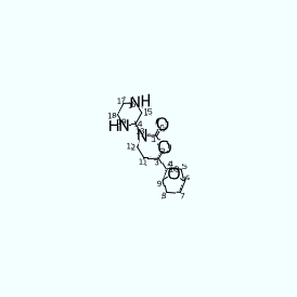 O=C1OC(C2CC3CCC2O3)CCN1C1CNCCN1